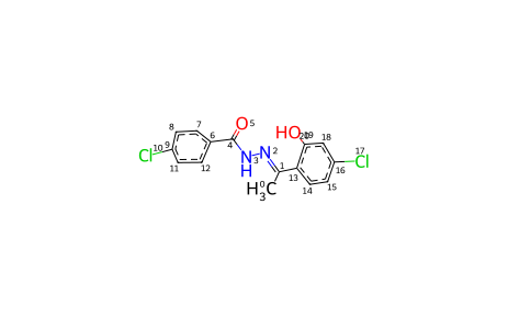 C/C(=N\NC(=O)c1ccc(Cl)cc1)c1ccc(Cl)cc1O